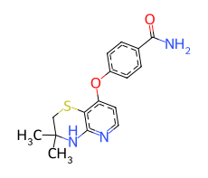 CC1(C)CSc2c(Oc3ccc(C(N)=O)cc3)ccnc2N1